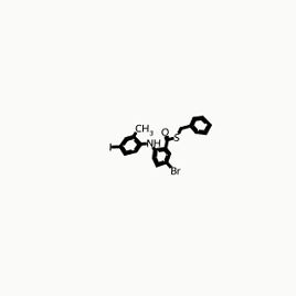 Cc1cc(I)ccc1Nc1ccc(Br)cc1C(=O)SCc1ccccc1